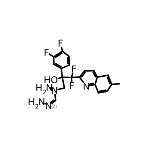 Cc1ccc2nc(C(F)(F)C(O)(CN(N)/C=N\N)c3ccc(F)c(F)c3)ccc2c1